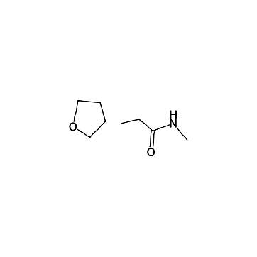 C1CCOC1.CCC(=O)NC